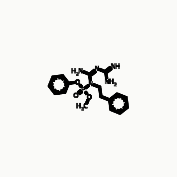 COP(=O)(Oc1ccccc1)N(CCc1ccccc1)/C(N)=N\C(=N)N